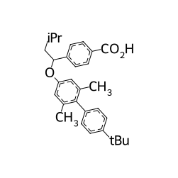 Cc1cc(OC(CC(C)C)c2ccc(C(=O)O)cc2)cc(C)c1-c1ccc(C(C)(C)C)cc1